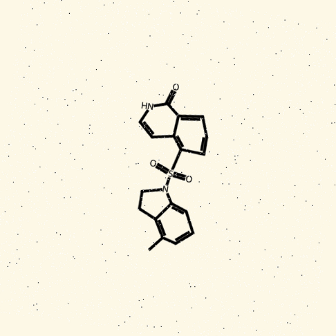 Cc1cccc2c1CCN2S(=O)(=O)c1cccc2c(=O)[nH]ccc12